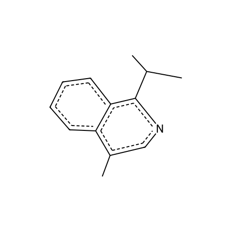 Cc1cnc(C(C)C)c2ccccc12